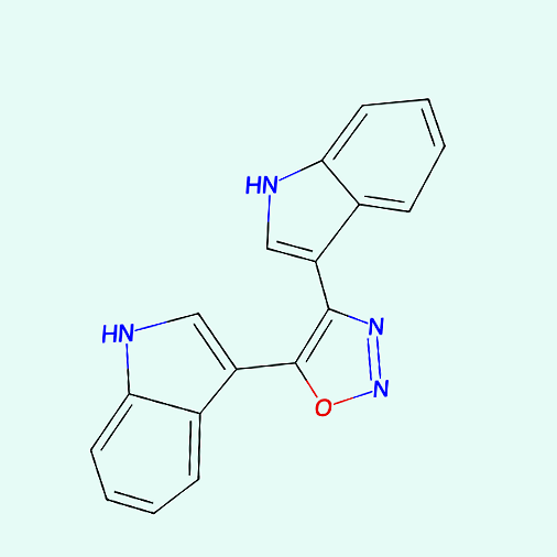 c1ccc2c(-c3nnoc3-c3c[nH]c4ccccc34)c[nH]c2c1